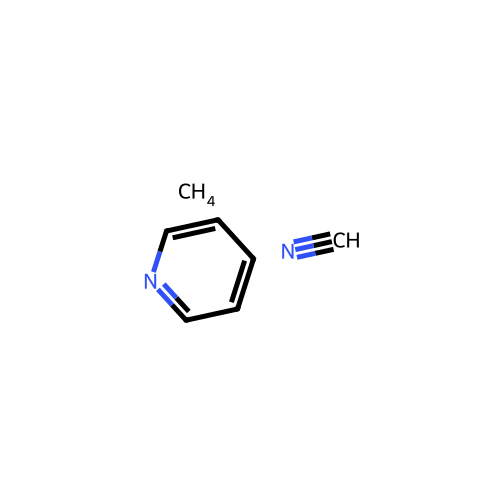 C.C#N.c1ccncc1